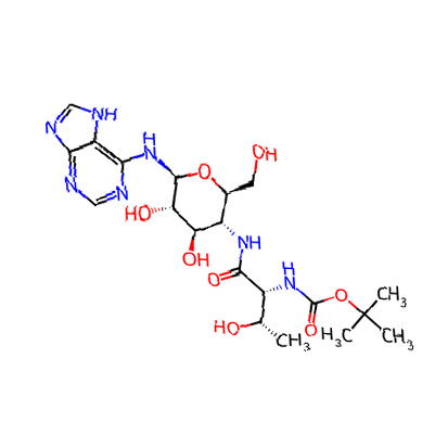 C[C@H](O)[C@@H](NC(=O)OC(C)(C)C)C(=O)N[C@@H]1[C@@H](O)[C@H](O)[C@@H](Nc2ncnc3nc[nH]c23)O[C@H]1CO